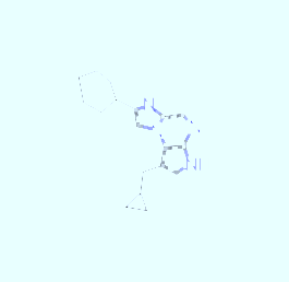 c1[nH]c2ncc3nc(C4CCCCC4)cn3c2c1CC1CC1